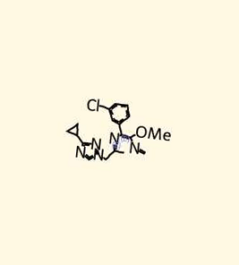 C=N/C(OC)=C(\N=C(/C)Cn1cnc(C2CC2)n1)c1cccc(Cl)c1